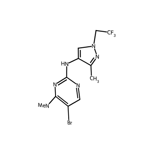 CNc1nc(Nc2cn(CC(F)(F)F)nc2C)ncc1Br